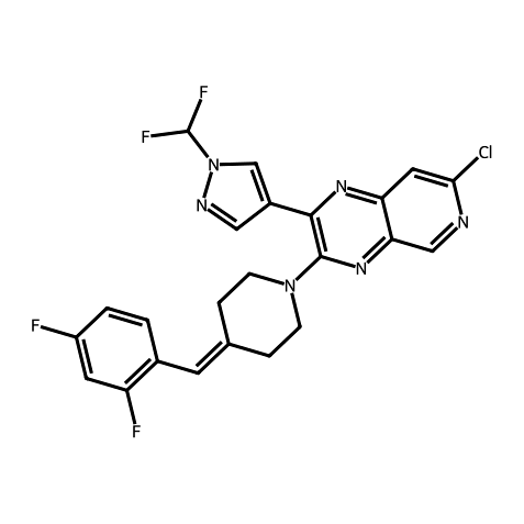 Fc1ccc(C=C2CCN(c3nc4cnc(Cl)cc4nc3-c3cnn(C(F)F)c3)CC2)c(F)c1